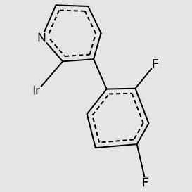 Fc1ccc(-c2cccn[c]2[Ir])c(F)c1